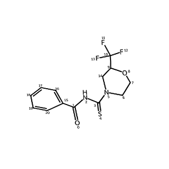 O=C(NC(=S)N1CCOC(C(F)(F)F)C1)c1ccccc1